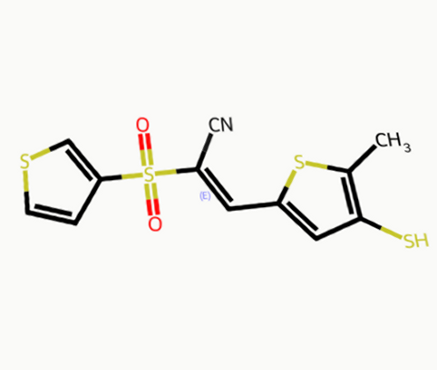 Cc1sc(/C=C(\C#N)S(=O)(=O)c2ccsc2)cc1S